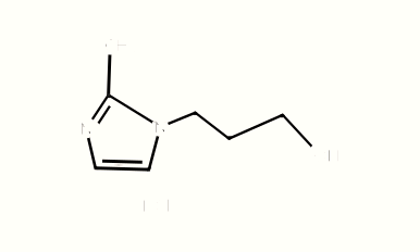 Cc1nccn1CCCO.Cl